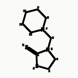 S=C1SCCN1CN1CCCCC1